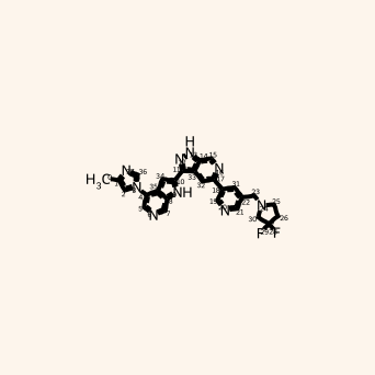 Cc1cn(-c2cncc3[nH]c(-c4n[nH]c5cnc(-c6cncc(CN7CCC(F)(F)C7)c6)cc45)cc23)cn1